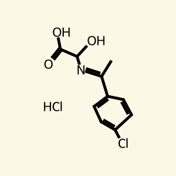 CC(=NC(O)C(=O)O)c1ccc(Cl)cc1.Cl